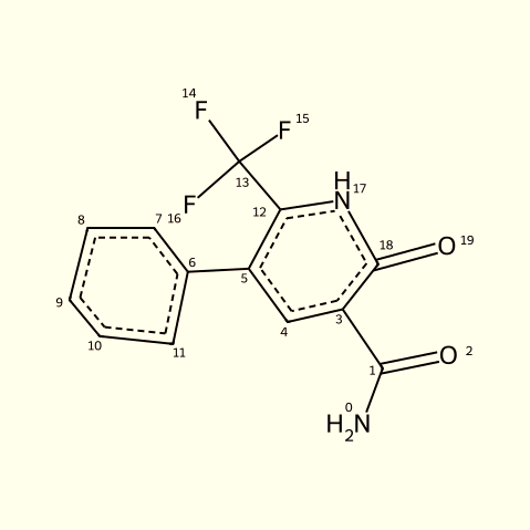 NC(=O)c1cc(-c2ccccc2)c(C(F)(F)F)[nH]c1=O